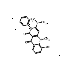 CC(C)c1cc2c(c(=O)c3cccc(O)c3n2C)c(=O)n1-c1ccccc1